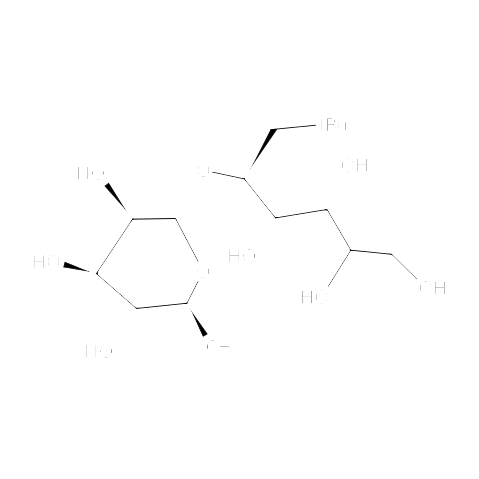 C[C@@H]1O[C@@H](O[C@@H](CC(C)(C)C)[C@@H](O)[C@H](O)C(O)CO)[C@H](O)[C@H](O)[C@H]1O